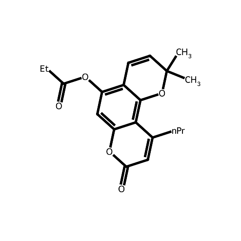 CCCc1cc(=O)oc2cc(OC(=O)CC)c3c(c12)OC(C)(C)C=C3